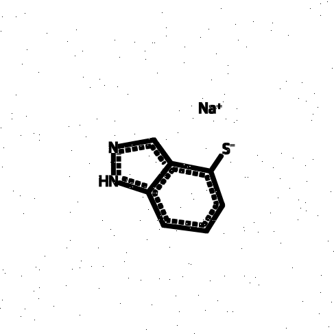 [Na+].[S-]c1cccc2[nH]ncc12